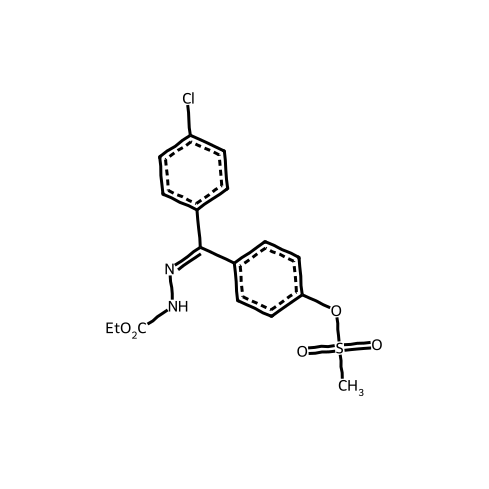 CCOC(=O)N/N=C(/c1ccc(Cl)cc1)c1ccc(OS(C)(=O)=O)cc1